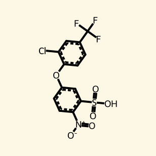 O=[N+]([O-])c1ccc(Oc2ccc(C(F)(F)F)cc2Cl)cc1S(=O)(=O)O